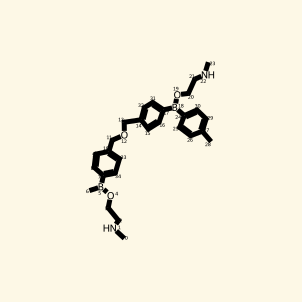 CNCCOB(C)c1ccc(COCc2ccc(B(OCCNC)c3ccc(C)cc3)cc2)cc1